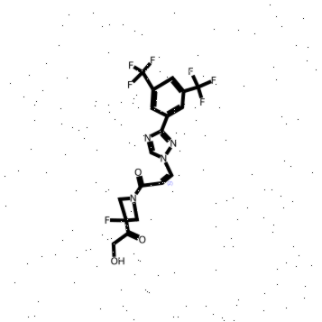 O=C(/C=C\n1cnc(-c2cc(C(F)(F)F)cc(C(F)(F)F)c2)n1)N1CC(F)(C(=O)CO)C1